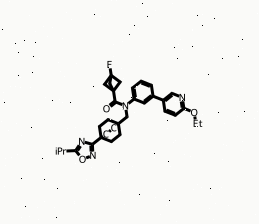 CCOc1ccc(-c2cccc(N(CC34CCC(c5noc(C(C)C)n5)(CC3)CC4)C(=O)C34CC(F)(C3)C4)c2)cn1